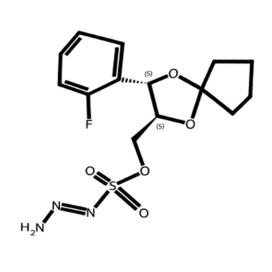 NN=NS(=O)(=O)OC[C@@H]1OC2(CCCC2)O[C@H]1c1ccccc1F